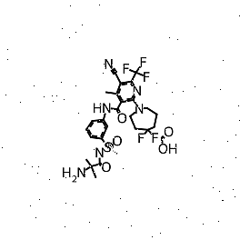 Cc1c(C#N)c(C(F)(F)F)nc(N2CCCC(F)(F)CC2)c1C(=O)Nc1cccc([S@@](C)(=O)=NC(=O)C(C)(C)N)c1.O=CO